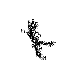 CC(C)(C(=O)Oc1c(F)c(F)c(F)c(F)c1F)S(=O)(=O)C1(CN2CCc3c(C(=O)NCc4ccc(C#N)cc4)nn(CCOCCN=[N+]=[N-])c3C2=O)CC1